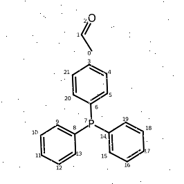 CC=O.c1ccc(P(c2ccccc2)c2ccccc2)cc1